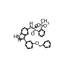 CS(=O)(=O)c1ccccc1S(=O)(=O)Nc1ccc2[nH]nc(-c3cccc(OCc4ccccc4)c3)c2c1